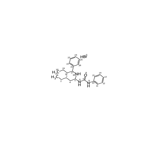 Br.CCCCC(NC(=O)Nc1ccccc1)NC(CCC)c1ccccc1